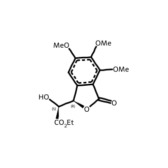 CCOC(=O)[C@@H](O)[C@@H]1OC(=O)c2c1cc(OC)c(OC)c2OC